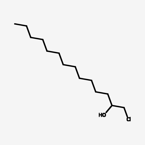 CCCCCCCCCCCCC(O)CCl